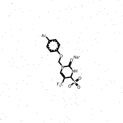 CC(=O)c1ccc(OCN2C=C(C(F)(F)F)C(S(=O)(=O)[O-])NC2=O)cc1.[Na+]